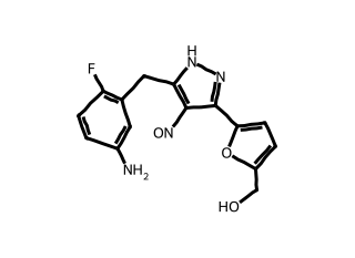 Nc1ccc(F)c(Cc2[nH]nc(-c3ccc(CO)o3)c2N=O)c1